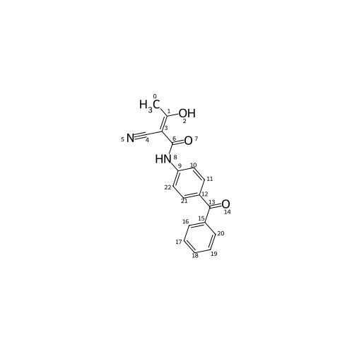 C/C(O)=C(\C#N)C(=O)Nc1ccc(C(=O)c2ccccc2)cc1